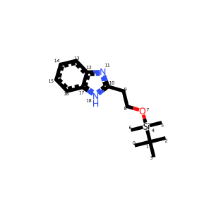 CC(C)(C)[Si](C)(C)OCCc1nc2ccccc2[nH]1